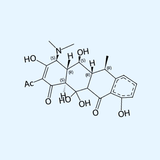 CC(=O)C1=C(O)[C@@H](N(C)C)[C@@H]2[C@@H](O)[C@H]3C(C(=O)c4c(O)cccc4[C@@H]3C)C(O)(O)[C@H]2C1=O